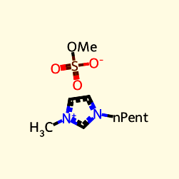 CCCCCn1cc[n+](C)c1.COS(=O)(=O)[O-]